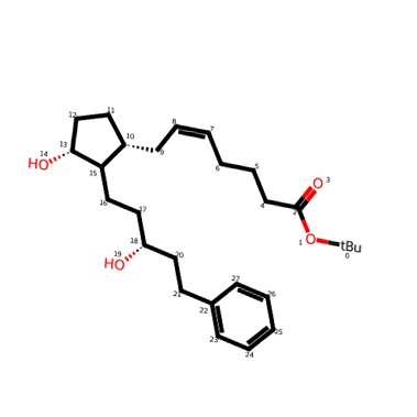 CC(C)(C)OC(=O)CCC/C=C\C[C@H]1CC[C@@H](O)C1CC[C@@H](O)CCc1ccccc1